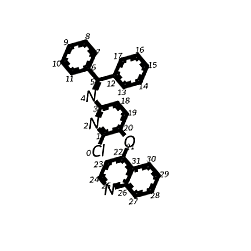 Clc1nc(N=C(c2ccccc2)c2ccccc2)ccc1Oc1ccnc2ccccc12